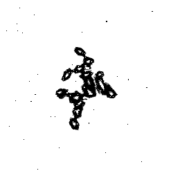 c1ccc(-c2ccc3sc4c(-c5ccc6c(c5)c5cc(-c7cc(-c8ccccc8)cc8c7sc7ccc(-c9ccccc9)cc78)ccc5n6-c5cc6ccccc6c6ccccc56)cc(-c5ccccc5)cc4c3c2)cc1